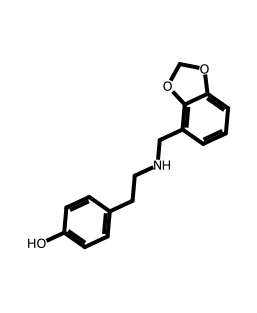 Oc1ccc(CCNCc2cccc3c2OCO3)cc1